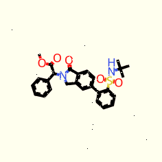 COC(=O)C(c1ccccc1)N1Cc2cc(-c3ccccc3S(=O)(=O)NC(C)(C)C)ccc2C1=O